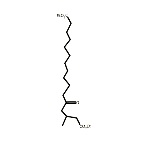 CCOC(=O)CCCCCCCCCCC(=O)CC(C)CC(=O)OCC